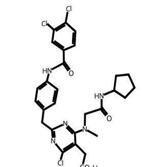 CN(CC(=O)NC1CCCC1)c1nc(Cc2ccc(NC(=O)c3ccc(Cl)c(Cl)c3)cc2)nc(Cl)c1CC(=O)O